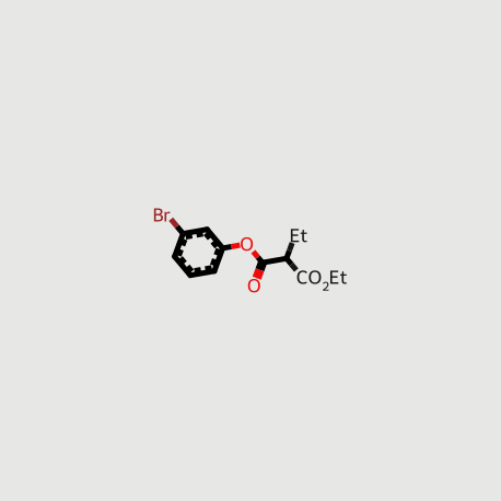 CCOC(=O)C(CC)C(=O)Oc1cccc(Br)c1